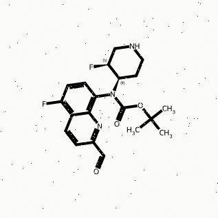 CC(C)(C)OC(=O)N(c1ccc(F)c2ccc(C=O)nc12)[C@@H]1CCNC[C@@H]1F